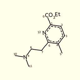 CCOC(=O)c1ccc(C)c(CCN(C)C)n1